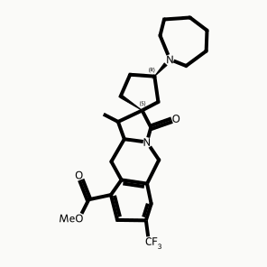 COC(=O)c1cc(C(F)(F)F)cc2c1CC1C(C)[C@@]3(CC[C@@H](N4CCCCCC4)C3)C(=O)N1C2